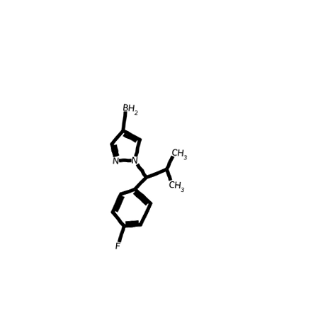 Bc1cnn(C(c2ccc(F)cc2)C(C)C)c1